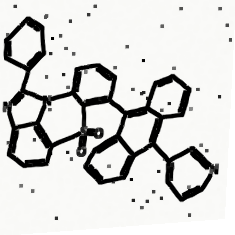 O=S1(=O)c2c(-c3c4ccccc4c(-c4cccnc4)c4ccccc34)cccc2-n2c(-c3ccccc3)nc3cccc1c32